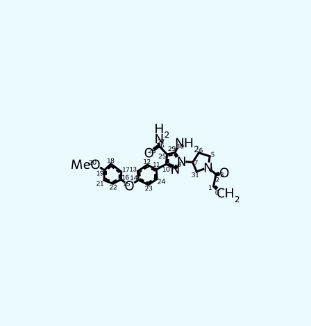 C=CC(=O)N1CCC(n2nc(-c3ccc(Oc4ccc(OC)cc4)cc3)c(C(N)=O)c2N)C1